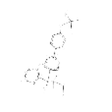 CCC(C)(C)C(O)(c1cccnc1)c1ccc(-c2ccc(OC(F)(F)F)cc2)cn1